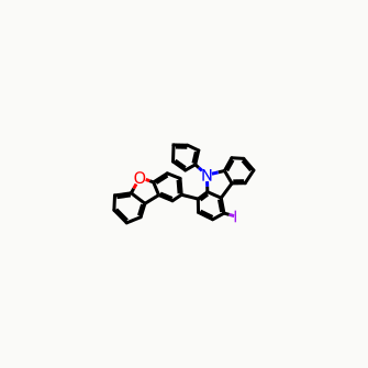 Ic1ccc(-c2ccc3oc4ccccc4c3c2)c2c1c1ccccc1n2-c1ccccc1